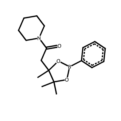 CC1(C)OB(c2ccccc2)OC1(C)CC(=O)N1CCCCC1